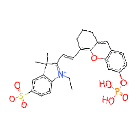 CC[N+]1=C(C=CC2=C3Oc4cc(OP(=O)(O)O)ccc4C=C3CCC2)C(C)(C)c2cc(S(=O)(=O)[O-])ccc21